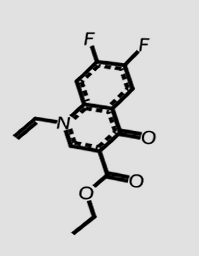 C=Cn1cc(C(=O)OCC)c(=O)c2cc(F)c(F)cc21